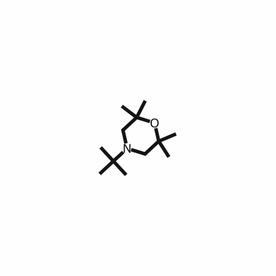 CC1(C)CN(C(C)(C)C)CC(C)(C)O1